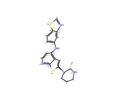 C[C@@H]1NCCC[C@H]1c1cc2c(Nc3ccc4scnc4c3)ccnc2s1